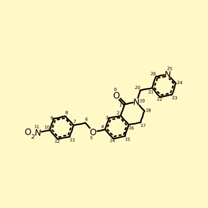 O=C1c2cc(OCc3ccc([N+](=O)[O-])cc3)ccc2CCN1Cc1cccnc1